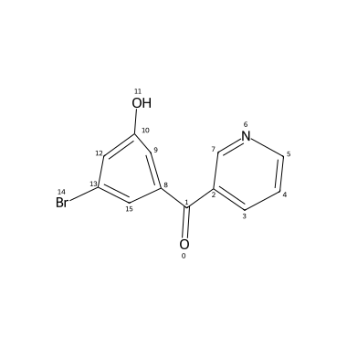 O=C(c1cccnc1)c1cc(O)cc(Br)c1